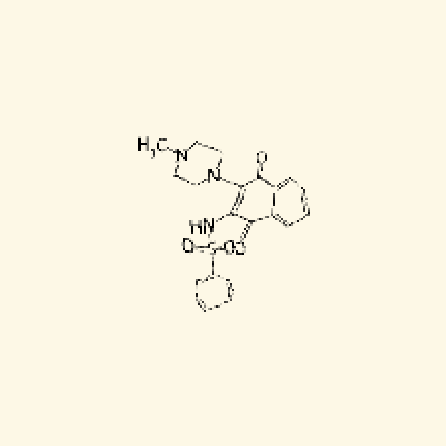 CN1CCN(C2=C(NS(=O)(=O)c3ccccc3)C(=O)c3ccccc3C2=O)CC1